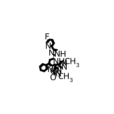 Cn1cc(C2(c3nn(C)c(=O)o3)N[C@@H](c3nc(-c4ccc(F)cn4)c[nH]3)Cc3c2[nH]c2c3C=CCC2)cn1